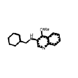 COc1c(NCC2CCCCC2)cnc2ccccc12